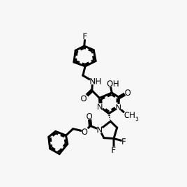 Cn1c([C@@H]2CC(F)(F)CN2C(=O)OCc2ccccc2)nc(C(=O)NCc2ccc(F)cc2)c(O)c1=O